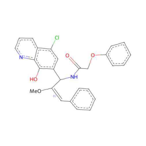 CO/C(=C/c1ccccc1)C(NC(=O)COc1ccccc1)c1cc(Cl)c2cccnc2c1O